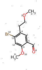 COCCc1cc(C=O)c(OC)cc1Br